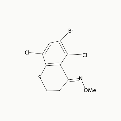 CO/N=C1\CCSc2c(Cl)cc(Br)c(Cl)c21